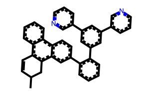 CC1C=Cc2c(c3cc(-c4ccccc4-c4cc(-c5cccnc5)cc(-c5cccnc5)c4)ccc3c3ccccc23)C1